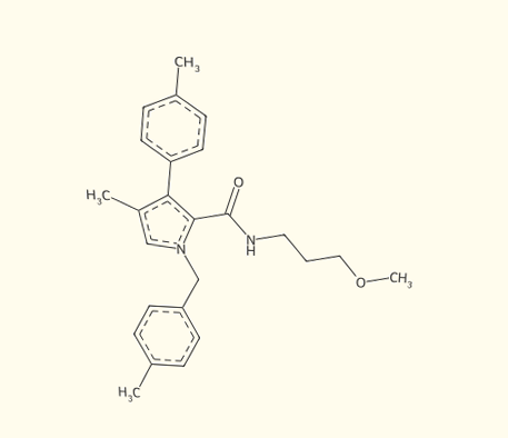 COCCCNC(=O)c1c(-c2ccc(C)cc2)c(C)cn1Cc1ccc(C)cc1